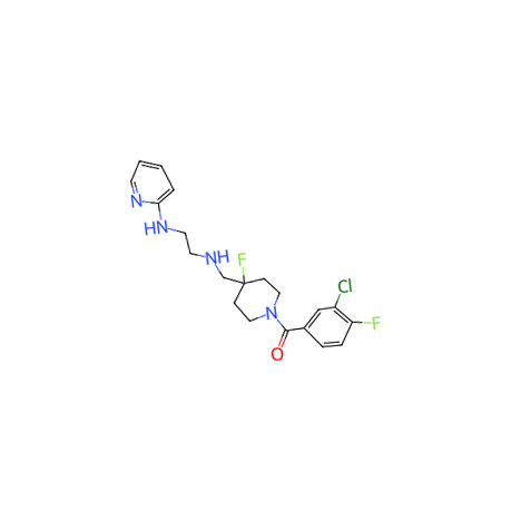 O=C(c1ccc(F)c(Cl)c1)N1CCC(F)(CNCCNc2ccccn2)CC1